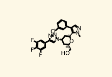 Cn1ncc(-c2cccc(Cl)c2)c1[C@@H]1C[C@@H](n2cc(-c3cc(F)c(F)c(F)c3)nn2)C[C@H](CO)O1